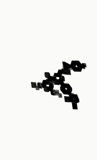 C[C@@H]1CN(C(=O)[C@H](CCCN[C@@H]2C[C@H]2c2ccc(F)cc2)NC(=O)c2ccc(N3C=CNN3)cc2)C[C@H](C)O1